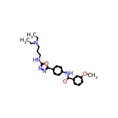 CCN(CC)CCCNc1nnc(-c2ccc(NC(=O)c3cccc(OC)c3)cc2)o1